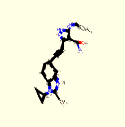 CNc1[nH]nc(C#Cc2ccc3c(c2)nc(C)n3C2CC2)c1C(N)=O